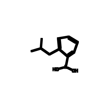 CC(C)Cc1ccccc1B(O)O